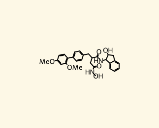 COc1ccc(-c2ccc(CC(CC(=O)NO)C(=O)NC3c4ccccc4CC3O)cc2)c(OC)c1